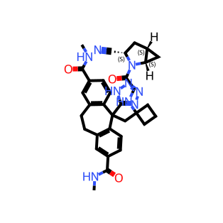 CNC(=O)c1ccc2c(c1)CCc1cc(C(=O)NC)ccc1C2(CC1(NCC(=O)N2[C@H](C#N)C[C@@H]3C[C@@H]32)CCC1)c1nnn[nH]1